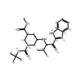 COC(=O)C1CC(NC(C(=O)c2nc3ccccc3[nH]2)C(C)C)CN(C(=O)OC(C)(C)C)C1